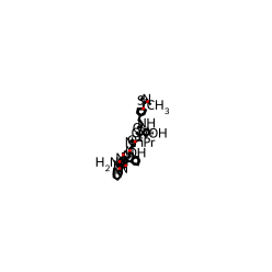 Cc1ncsc1-c1ccc(CNC(=O)[C@@H]2C[C@@H](O)CN2C(=O)C(c2cc(N3CCC(c4cnc(N5C6CCC5CN(c5cc(-c7ccccc7O)nnc5N)C6)nc4)CC3)no2)C(C)C)cc1